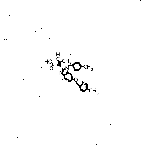 Cc1ccc(Cn2c([C@@H]3[C@H](C(=O)O)C3(C)C)nc3ccc(OCc4ccc(C)cn4)cc32)cc1